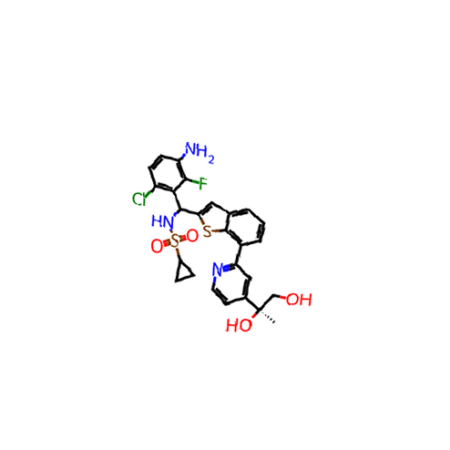 C[C@@](O)(CO)c1ccnc(-c2cccc3cc(C(NS(=O)(=O)C4CC4)c4c(Cl)ccc(N)c4F)sc23)c1